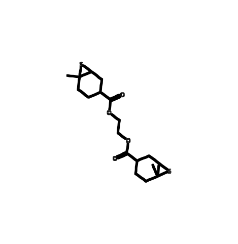 CC12CCC(C(=O)OCCOC(=O)C3CCC4(C)SC4C3)CC1S2